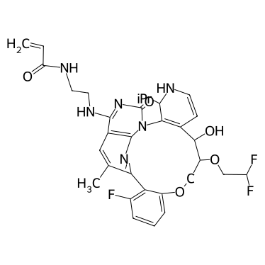 C=CC(=O)NCCNc1nc(=O)n2c3nc(c(C)cc13)-c1c(F)cccc1OCC(OCC(F)F)C(O)C1=C2C(C(C)C)NC=C1